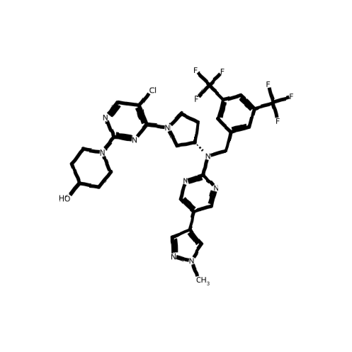 Cn1cc(-c2cnc(N(Cc3cc(C(F)(F)F)cc(C(F)(F)F)c3)[C@H]3CCN(c4nc(N5CCC(O)CC5)ncc4Cl)C3)nc2)cn1